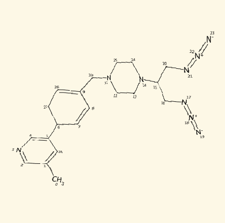 Cc1cncc(C2C=CC(CN3CCN(C(CN=[N+]=[N-])CN=[N+]=[N-])CC3)=CC2)c1